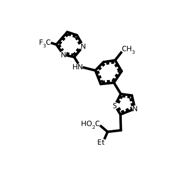 CCC(Cc1ncc(-c2cc(C)cc(Nc3nccc(C(F)(F)F)n3)c2)s1)C(=O)O